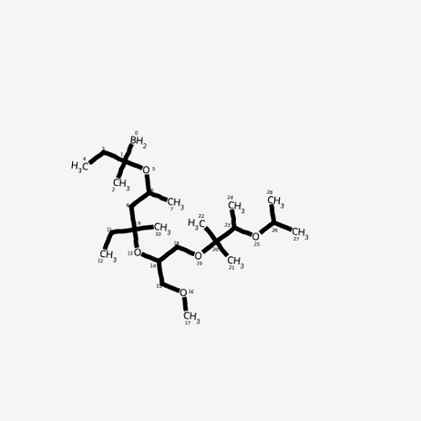 BC(C)(CC)OC(C)CC(C)(CC)OC(COC)COC(C)(C)C(C)OC(C)C